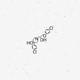 OC(COc1ccc(Cl)cc1)CN1CCC(O)(c2ccc(Cl)cc2)CC1